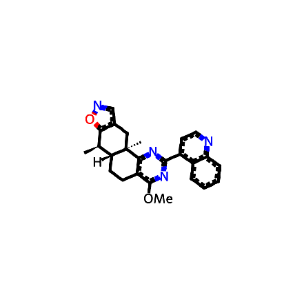 COc1nc(-c2ccnc3ccccc23)nc2c1CC[C@@H]1[C@@H](C)c3oncc3C[C@@]21C